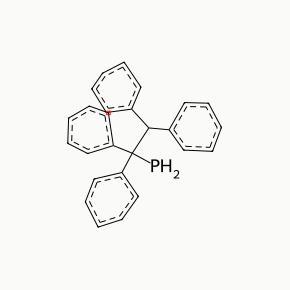 PC(c1ccccc1)(c1ccccc1)C(c1ccccc1)c1ccccc1